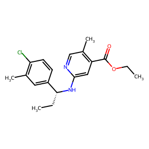 CCOC(=O)c1cc(N[C@H](CC)c2ccc(Cl)c(C)c2)ncc1C